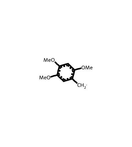 [CH2]c1cc(OC)c(OC)cc1OC